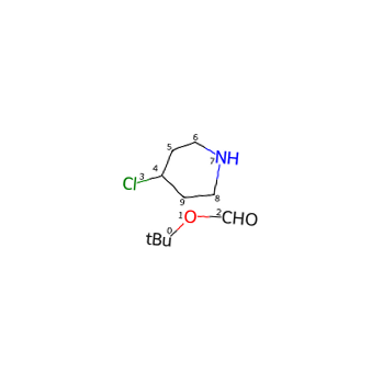 CC(C)(C)OC=O.ClC1CCNCC1